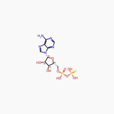 Nc1ncnc2c1ncn2[C@@H]1O[C@H](COP(=O)(O)OP(O)(O)=S)[C@@H](O)[C@H]1O